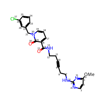 COc1ccnc(NCCC#CCCNC(=O)c2cccn(Cc3cccc(Cl)c3)c2=O)n1